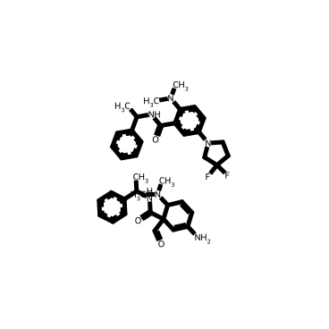 CC(NC(=O)C1(C=O)C=C(N)C=CC1N(C)C)c1ccccc1.CC(NC(=O)c1cc(N2CCC(F)(F)C2)ccc1N(C)C)c1ccccc1